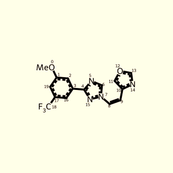 COc1cc(-c2ncn(/C=C\c3cocn3)n2)cc(C(F)(F)F)c1